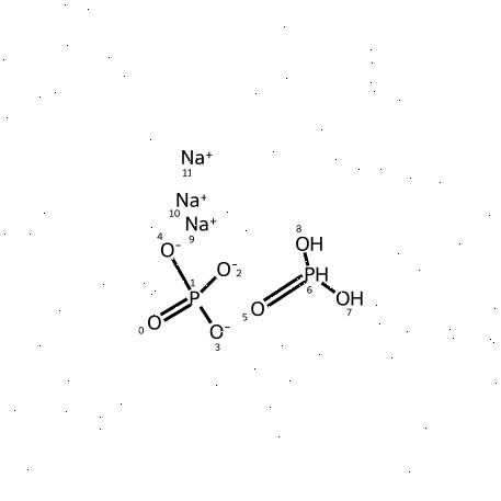 O=P([O-])([O-])[O-].O=[PH](O)O.[Na+].[Na+].[Na+]